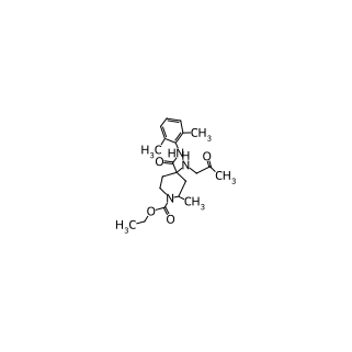 CCOC(=O)N1CCC(NCC(C)=O)(C(=O)Nc2c(C)cccc2C)CC1C